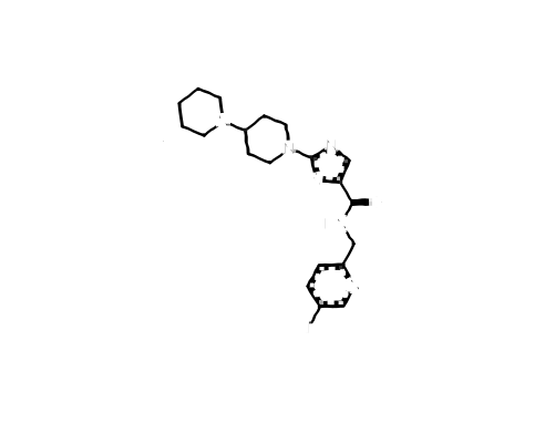 C[C@@H]1CCCN(C2CCN(c3ncc(C(=O)NCc4ccc(Cl)cn4)s3)CC2)C1